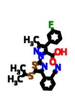 Cc1nn(-c2nc(-c3ccccc3C#N)c(SC(C)C)s2)c(C(=O)O)c1-c1cccc(F)c1